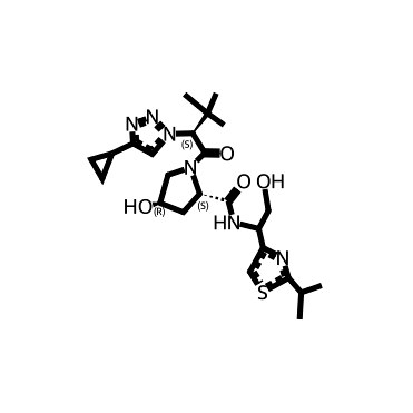 CC(C)c1nc(C(CO)NC(=O)[C@@H]2C[C@@H](O)CN2C(=O)[C@@H](n2cc(C3CC3)nn2)C(C)(C)C)cs1